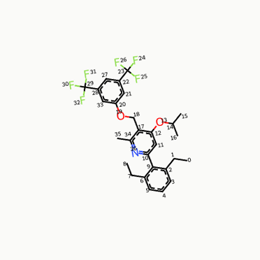 CCc1cccc(CC)c1-c1cc(OC(C)C)c(COc2cc(C(F)(F)F)cc(C(F)(F)F)c2)c(C)n1